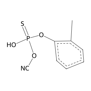 Cc1ccccc1OP(O)(=S)OC#N